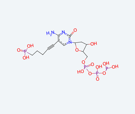 Nc1nc(=O)n(C2CC(O)C(COP(=O)(O)OP(=O)(O)OP(O)O)O2)cc1C#CCCCP(=O)(O)O